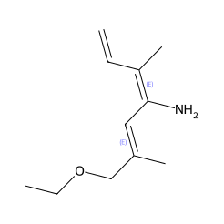 C=C/C(C)=C(N)\C=C(/C)COCC